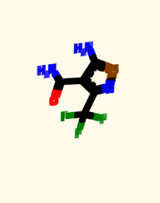 NC(=O)c1c(C(F)(F)F)nsc1N